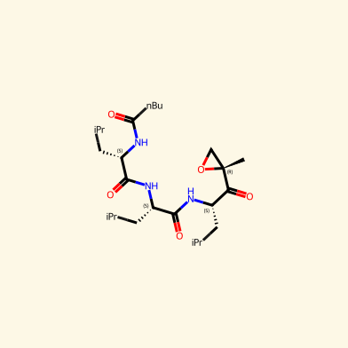 CCCCC(=O)N[C@@H](CC(C)C)C(=O)N[C@@H](CC(C)C)C(=O)N[C@@H](CC(C)C)C(=O)[C@@]1(C)CO1